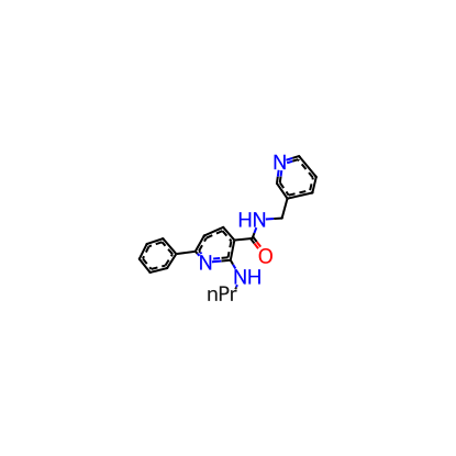 CCCNc1nc(-c2ccccc2)ccc1C(=O)NCc1cccnc1